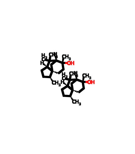 C[C@@H]1CC[C@H]2C(C)(C)[C@H]3C[C@@]12CC[C@@]3(C)O.C[C@@H]1CC[C@H]2C(C)(C)[C@H]3C[C@@]12CC[C@@]3(C)O